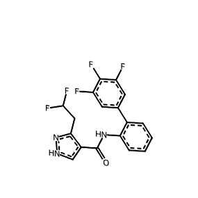 O=C(Nc1ccccc1-c1cc(F)c(F)c(F)c1)c1c[nH]nc1CC(F)F